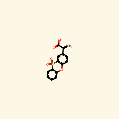 C=C(C(=O)O)c1ccc2c(c1)S(=O)(=O)c1ccccc1O2